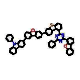 c1ccc(-c2nc(-c3cccc4c3oc3ccccc34)nc(-c3cccc4sc5cc(-c6ccc7c(c6)oc6ccc(-c8ccc9c%10ccccc%10n(-c%10ccccc%10)c9c8)cc67)ccc5c34)n2)cc1